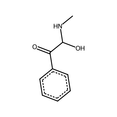 CNC(O)C(=O)c1ccccc1